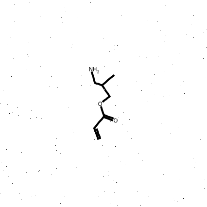 C=CC(=O)OCC(C)CN